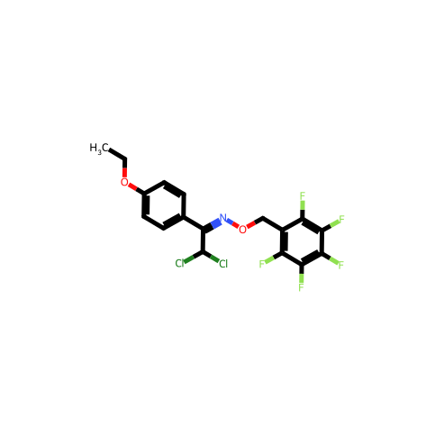 CCOc1ccc(C(=NOCc2c(F)c(F)c(F)c(F)c2F)C(Cl)Cl)cc1